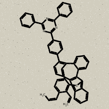 C=Cc1c(/C=C\C)ccc2c1Sc1c3c(cc4ccccc14)-c1ccc(-c4ccc(-c5nc(-c6ccccc6)nc(-c6ccccc6)n5)cc4)c(c1-2)-c1ccccc1-3